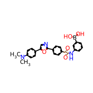 CN(C)c1ccc(-c2cnc(-c3ccc(S(=O)(=O)Nc4cccc(B(O)O)c4)cc3)o2)cc1